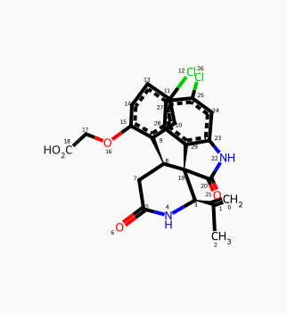 C=C(C)[C@H]1NC(=O)C[C@@H](c2cc(Cl)ccc2OCC(=O)O)[C@]12C(=O)Nc1cc(Cl)ccc12